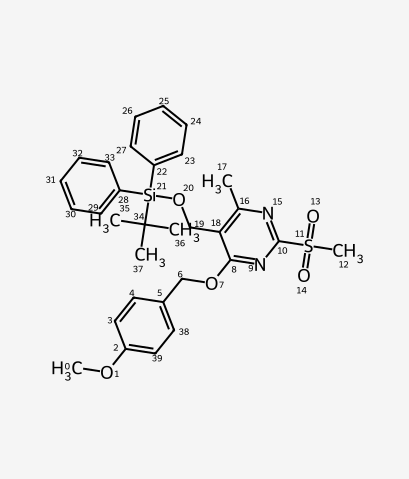 COc1ccc(COc2nc(S(C)(=O)=O)nc(C)c2CO[Si](c2ccccc2)(c2ccccc2)C(C)(C)C)cc1